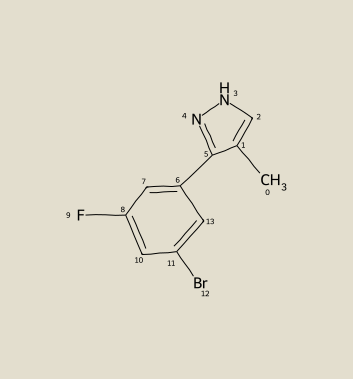 Cc1c[nH]nc1-c1cc(F)cc(Br)c1